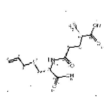 C=CCSC[C@H](NC(=O)CC[C@H](N)C(=O)O)C(=O)O